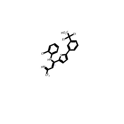 CCC(CC)(C(=O)O)c1cccc(-c2ccc(/C(=C/C(=N)C(F)(F)F)Nc3ccccc3Cl)s2)c1